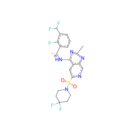 Cc1nc(N[C@H](C)c2cccc(C(F)F)c2F)c2cc(S(=O)(=O)N3CCC(F)(F)CC3)ncc2n1